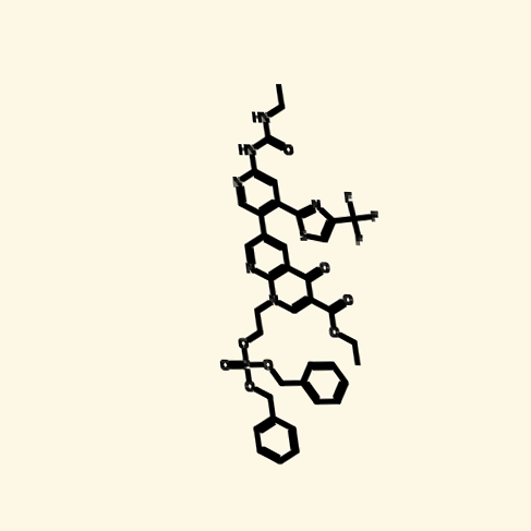 CCNC(=O)Nc1cc(-c2nc(C(F)(F)F)cs2)c(-c2cnc3c(c2)c(=O)c(C(=O)OCC)cn3CCOP(=O)(OCc2ccccc2)OCc2ccccc2)cn1